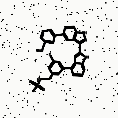 COc1cncc(-c2cc3c(-c4cc5c(-c6cc(F)cc(CNS(C)(=O)=O)c6)cccc5[nH]4)n[nH]c3cn2)c1